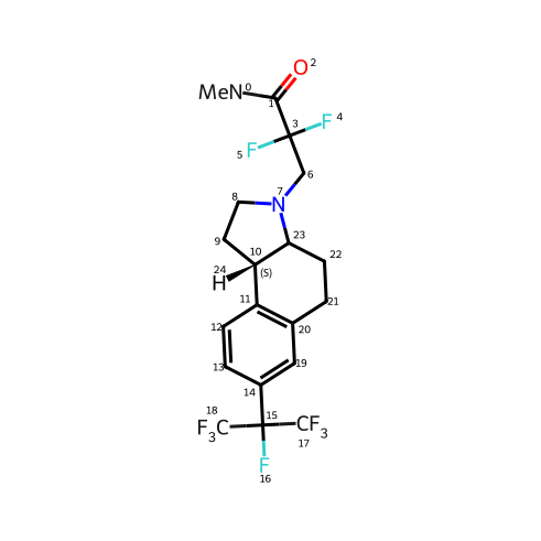 CNC(=O)C(F)(F)CN1CC[C@H]2c3ccc(C(F)(C(F)(F)F)C(F)(F)F)cc3CCC21